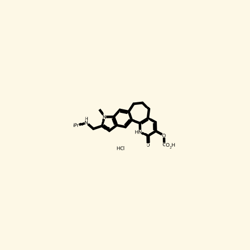 CC(C)NCc1cc2cc3c(cc2n1C)CCCc1cc(OC(=O)O)c(=O)[nH]c1-3.Cl